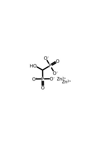 O=P([O-])([O-])C(O)P(=O)([O-])[O-].[Zn+2].[Zn+2]